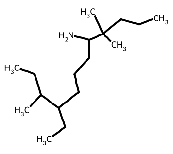 CCCC(C)(C)C(N)CCCC(CC)C(C)CC